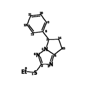 CCSc1nc2n(n1)C(c1ccccc1)CC2